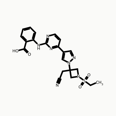 CCS(=O)(=O)N1CC(CC#N)(n2cc(-c3ccnc(Nc4ccccc4C(=O)O)n3)cn2)C1